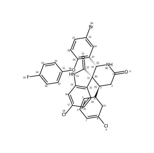 O=C1C[C@@H](C2C=CC=C(Cl)C2)[C@]2(C(=O)Nc3cc(Cl)ccc32)[C@H](c2cc(Br)ccc2Oc2ccc(F)cc2)N1